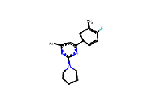 CC(=O)c1cc(C2C=CC(F)=C(C)C2)nc(N2CCCCC2)n1